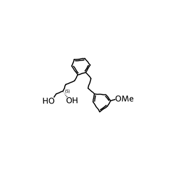 COc1cccc(CCc2ccccc2CC[C@H](O)CO)c1